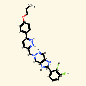 CCCOc1ccc(-c2ccc(CN3Cc4nc(-c5cccc(F)c5F)[nH]c4C=N3)nn2)cc1